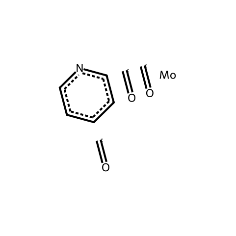 [C]=O.[C]=O.[C]=O.[Mo].c1ccncc1